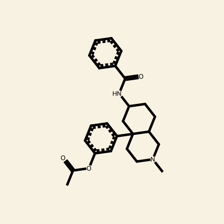 CC(=O)Oc1cccc(C23CCN(C)CC2CCC(NC(=O)c2ccccc2)C3)c1